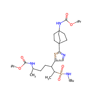 CC(CCC(c1cnc(C23CCC(NC(=O)OC(C)C)(CC2)CC3)s1)C(C)S(=O)(=O)NC(C)(C)C)NC(=O)OC(C)C